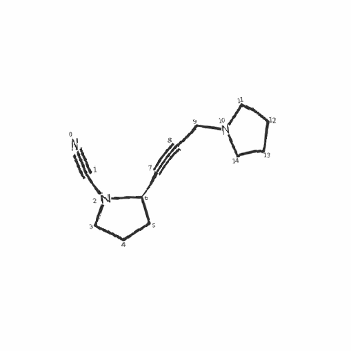 N#CN1CCC[C@@H]1C#CCN1CCCC1